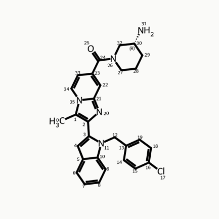 Cc1c(-c2cc3ccccc3n2Cc2ccc(Cl)cc2)nc2cc(C(=O)N3CCC[C@@H](N)C3)ccn12